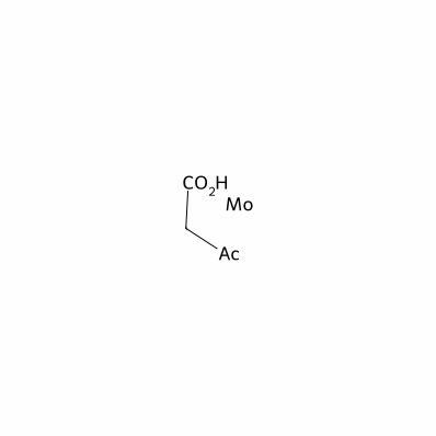 CC(=O)CC(=O)O.[Mo]